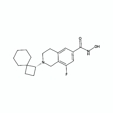 O=C(NO)c1cc(F)c2c(c1)CCN([C@@H]1CCC13CCCCC3)C2